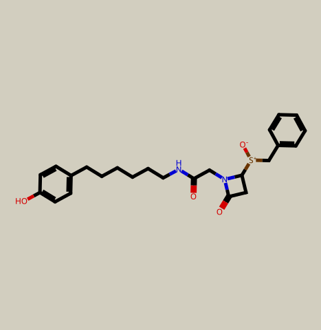 O=C(CN1C(=O)CC1[S+]([O-])Cc1ccccc1)NCCCCCCc1ccc(O)cc1